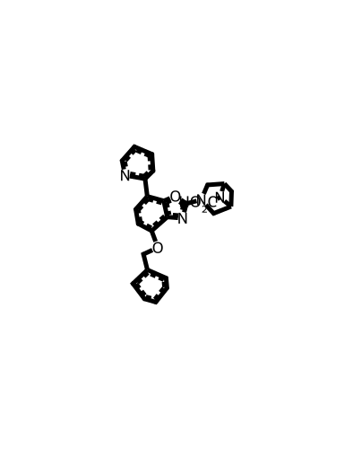 O=C(O)N1C2CC1CN(c1nc3c(OCc4ccccc4)ccc(-c4ccccn4)c3o1)C2